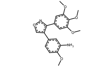 COc1ccc(-c2conc2-c2cc(OC)c(OC)c(OC)c2)cc1N